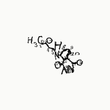 CCC(=O)CCNc1cccc2c1C(=O)N=NC2=O